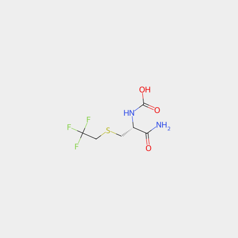 NC(=O)[C@H](CSCC(F)(F)F)NC(=O)O